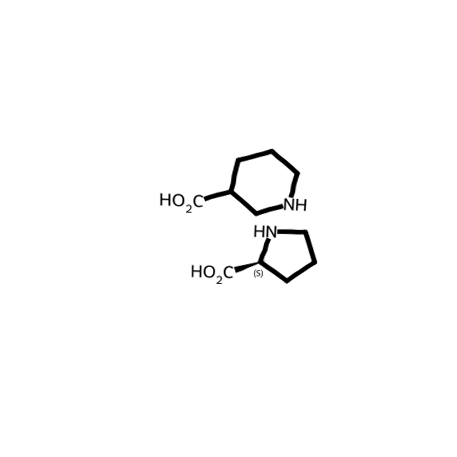 O=C(O)C1CCCNC1.O=C(O)[C@@H]1CCCN1